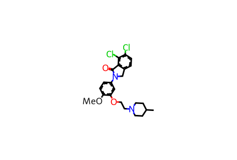 COc1ccc(N2Cc3ccc(Cl)c(Cl)c3C2=O)cc1OCCN1CCC(C)CC1